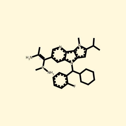 C/C(N)=C(\c1cnc2c3c(cc(C(C)C)n3C)n(C(c3ccccc3F)C3CCCCC3)c2c1)N(C)N